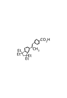 CCC1(CC)CC(CC)(CC)c2cc(/C(C)=C/c3ccc(C(=O)O)cc3)ccc21